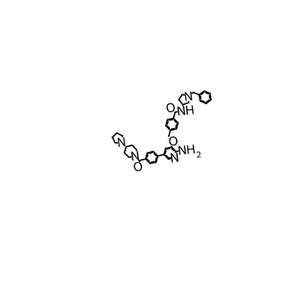 Nc1ncc(-c2ccc(C(=O)N3CCC(N4CCCC4)CC3)cc2)cc1OCc1ccc(C(=O)NC2CCN(Cc3ccccc3)C2)cc1